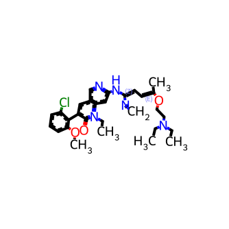 C=N/C(=C\C=C(/C)OCCN(CC)CC)Nc1cc2c(cn1)cc(-c1c(Cl)cccc1OC)c(=O)n2CC